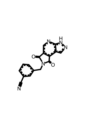 N#Cc1cccc(CN2C(=O)c3cnc4[nH]ncc4c3C2=O)c1